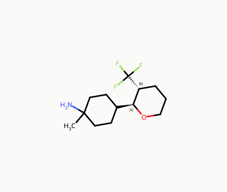 CC1(N)CCC([C@@H]2OCC[CH][C@H]2C(F)(F)F)CC1